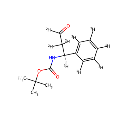 [2H]C(=O)C([2H])([2H])[C@]([2H])(NC(=O)OC(C)(C)C)c1c([2H])c([2H])c([2H])c([2H])c1[2H]